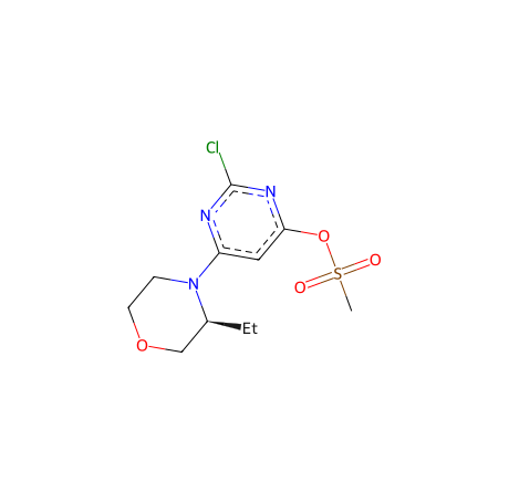 CC[C@H]1COCCN1c1cc(OS(C)(=O)=O)nc(Cl)n1